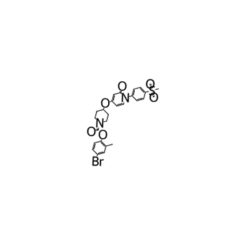 Cc1cc(Br)ccc1OC(=O)N1CCC(Oc2ccn(-c3ccc(S(C)(=O)=O)cc3)c(=O)c2)CC1